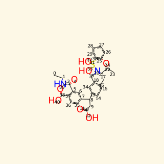 CCNC(=O)c1cc(C(CC(=O)O)c2ccc(C)c(CN3CC(C)Oc4ccccc4S3(O)O)c2)ccc1C(=O)O